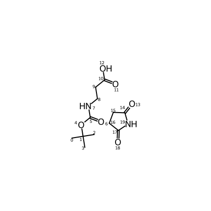 CC(C)(C)OC(=O)NCCC(=O)O.O=C1CCC(=O)N1